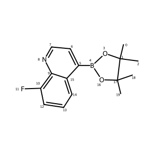 CC1(C)OB(c2ccnc3c(F)cccc23)OC1(C)C